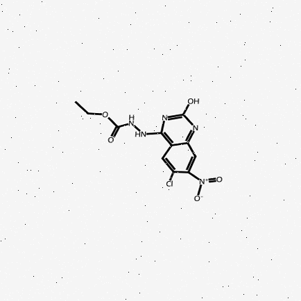 CCOC(=O)NNc1nc(O)nc2cc([N+](=O)[O-])c(Cl)cc12